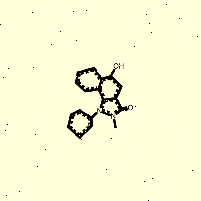 Cn1c(=O)c2cc(O)c3ccccc3c2n1-c1ccccc1